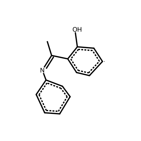 CC(=Nc1ccccc1)c1cc[c]cc1O